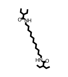 CCC(CC)C(=O)NCCCCCCCCCCCCNC(=O)C(CC)CC